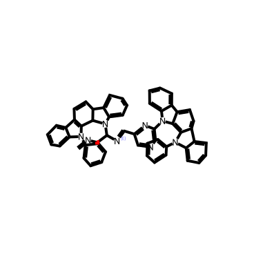 C=NCC(/N=C/c1cncc(-n2c3ccccc3c3ccc4c5ccccc5n(-c5ccccc5)c4c32)n1)N1c2ccccc2C2C=Cc3c(n(-c4ccccc4)c4ccccc34)C21